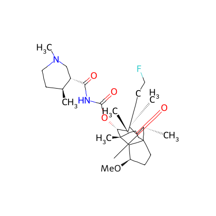 CO[C@@H]1CCC23CC[C@@H](C)[C@](C)(C12)[C@H](OC(=O)NC(=O)[C@H]1CN(C)CC[C@@H]1C)C[C@@](C)(CCF)C(=O)[C@@H]3C